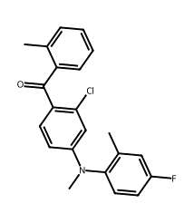 Cc1ccccc1C(=O)c1ccc(N(C)c2ccc(F)cc2C)cc1Cl